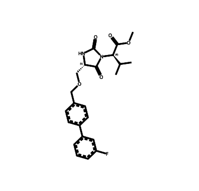 COC(=O)[C@@H](C(C)C)N1C(=O)N[C@@H](COCc2ccc(-c3cccc(F)c3)cc2)C1=O